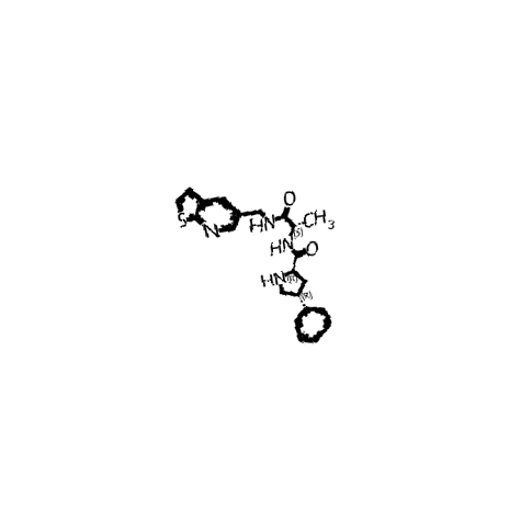 C[C@H](NC(=O)[C@H]1C[C@H](c2ccccc2)CN1)C(=O)NCc1cnc2sccc2c1